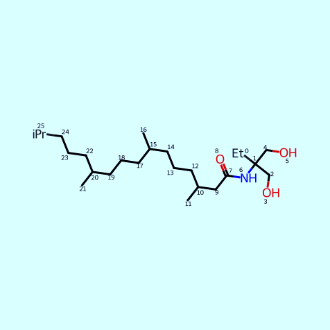 CCC(CO)(CO)NC(=O)CC(C)CCCC(C)CCCC(C)CCCC(C)C